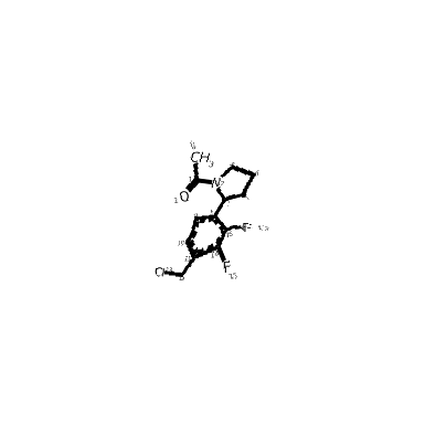 CC(=O)N1CCCC1c1ccc(CCl)c(F)c1F